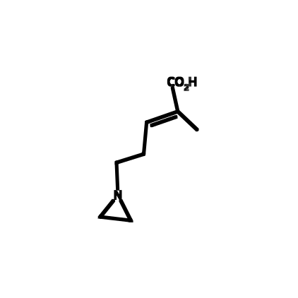 CC(=CCCN1CC1)C(=O)O